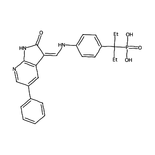 CCC(CC)(c1ccc(NC=C2C(=O)Nc3ncc(-c4ccccc4)cc32)cc1)P(=O)(O)O